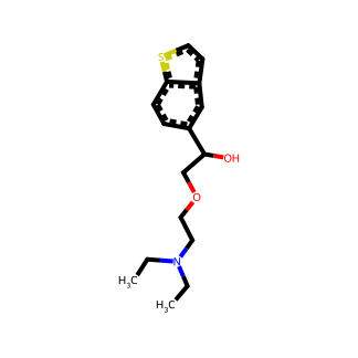 CCN(CC)CCOCC(O)c1ccc2sccc2c1